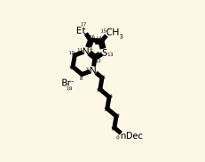 CCCCCCCCCCCCCCCCN1CCC[n+]2c1sc(C)c2CC.[Br-]